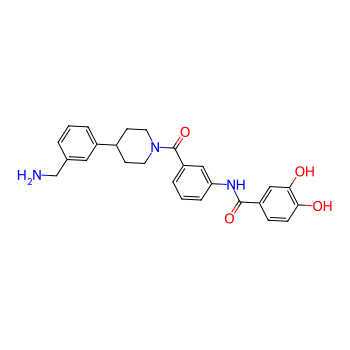 NCc1cccc(C2CCN(C(=O)c3cccc(NC(=O)c4ccc(O)c(O)c4)c3)CC2)c1